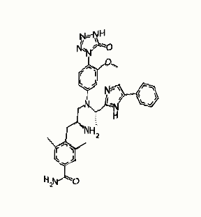 COc1cc(N(C[C@@H](N)Cc2c(C)cc(C(N)=O)cc2C)[C@@H](C)c2ncc(-c3ccccc3)[nH]2)ccc1-n1nn[nH]c1=O